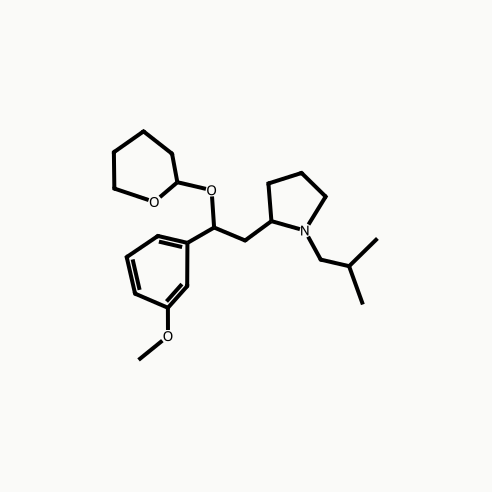 COc1cccc(C(CC2CCCN2CC(C)C)OC2CCCCO2)c1